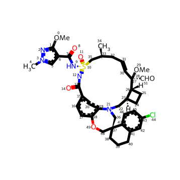 COc1nn(C)cc1C(=O)N[S@@]1(=O)=NC(=O)c2ccc3c(c2)N(C[C@@H]2CC[C@H]2[C@](C=O)(OC)/C=C/C[C@H](C)C1)C[C@@]1(CCCc2cc(Cl)ccc21)CO3